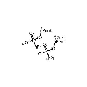 CCCCCOP(=O)([O-])CCC.CCCCCOP(=O)([O-])CCC.[Zn+2]